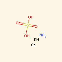 N.O=S(=O)(O)O.[Ce].[KH]